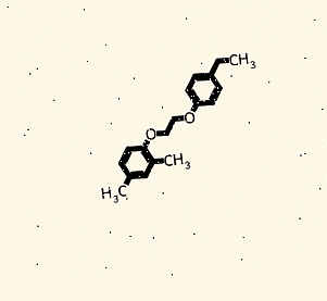 CCc1ccc(OCCOc2ccc(C)cc2C)cc1